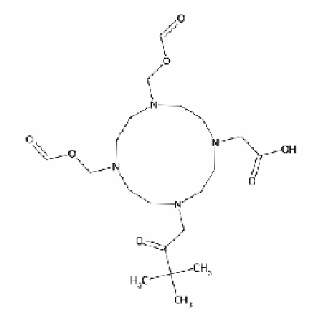 CC(C)(C)C(=O)CN1CCN(COC=O)CCN(COC=O)CCN(CC(=O)O)CC1